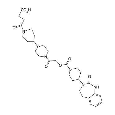 O=C(O)CCC(=O)N1CCC(C2CCN(C(=O)COC(=O)N3CCC(N4CCc5ccccc5NC4=O)CC3)CC2)CC1